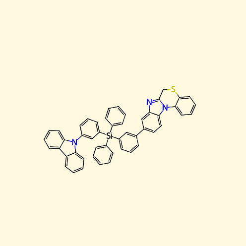 c1ccc([Si](c2ccccc2)(c2cccc(-c3ccc4c(c3)nc3n4-c4ccccc4SC3)c2)c2cccc(-n3c4ccccc4c4ccccc43)c2)cc1